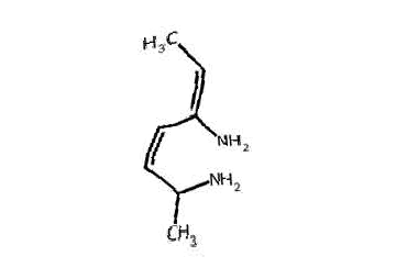 C/C=C(N)\C=C/C(C)N